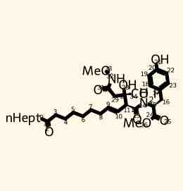 CCCCCCCC(=O)CCCCCC/C=C/[C@H](C(=O)N[C@@H](Cc1ccc(O)cc1)C(=O)OC)[C@@](O)(CC(=O)NOC)C(=O)O